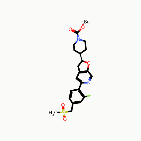 CC(C)(C)OC(=O)N1CCC([C@@H]2Cc3cc(-c4ccc(CS(C)(=O)=O)cc4F)ncc3O2)CC1